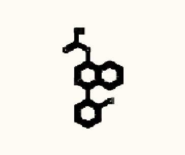 O=C(O)Oc1cnc(-c2ccccc2Cl)c2ccccc12